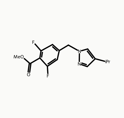 COC(=O)c1c(F)cc(Cn2cc(C(C)C)cn2)cc1F